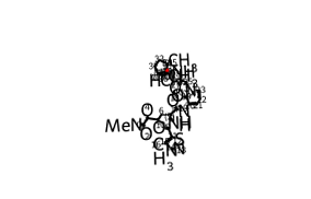 CNC(=O)C(=O)CC[C@H](NC(=O)c1snnc1C)C(=O)Nc1cccn(CC(=O)N[C@H]2C[C@H]3CC[C@]2(C)C3(C)C)c1=O